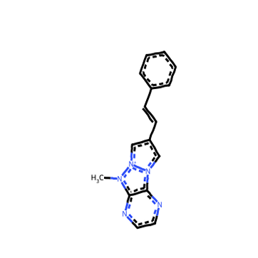 Cn1c2nccnc2n2cc(/C=C/c3ccccc3)c[n+]12